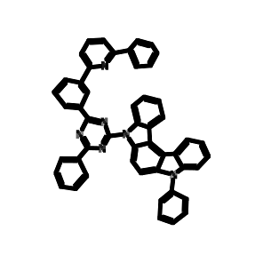 c1ccc(-c2cccc(-c3cccc(-c4nc(-c5ccccc5)nc(-n5c6ccccc6c6c7c8ccccc8n(-c8ccccc8)c7ccc65)n4)c3)n2)cc1